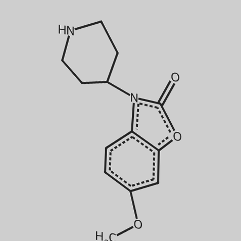 COc1ccc2c(c1)oc(=O)n2C1CCNCC1